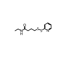 CCNC(=O)CCCSSc1ccccn1